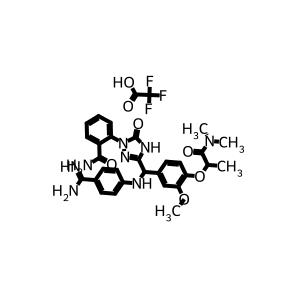 COc1cc(C(Nc2ccc(C(=N)N)cc2)c2nn(-c3ccccc3C(N)=O)c(=O)[nH]2)ccc1OC(C)C(=O)N(C)C.O=C(O)C(F)(F)F